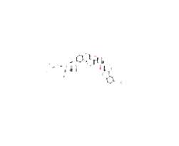 COC(=O)N[C@@H](CCCCN)C(=O)Nc1ccc2c(c1)[C@@]1(C)CCC[C@](C)(C(=O)NC(=O)[C@@]3(C)CCC[C@]4(C)c5cc(O)ccc5CC[C@@H]34)[C@@H]1CC2